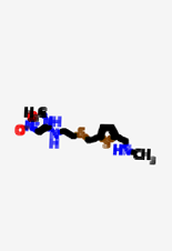 CNCc1ccc(CSCCNC(=C[N+](=O)[O-])NC)s1